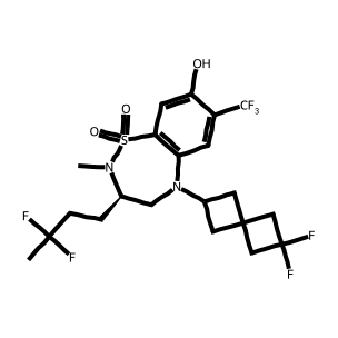 CN1[C@H](CCC(C)(F)F)CN(C2CC3(C2)CC(F)(F)C3)c2cc(C(F)(F)F)c(O)cc2S1(=O)=O